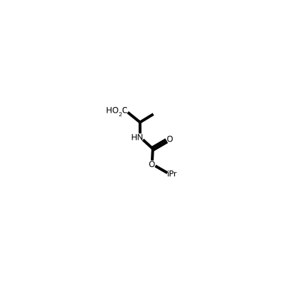 CC(C)OC(=O)NC(C)C(=O)O